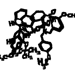 COc1ccc(CN(Cc2ccc(OC)cc2)S(=O)(=O)c2c(S(=O)O)ccc(-c3cccc4[nH]c(C(CO)NC(=O)OC(C)(C)C)nc34)c2-c2nnn(Cc3ccc(OC)cc3)n2)cc1